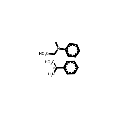 CN(CC(=O)O)c1ccccc1.N[C@@H](C(=O)O)c1ccccc1